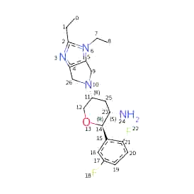 CCc1nc2c(n1CC)CN([C@H]1CO[C@H](c3cc(F)ccc3F)[C@@H](N)C1)C2